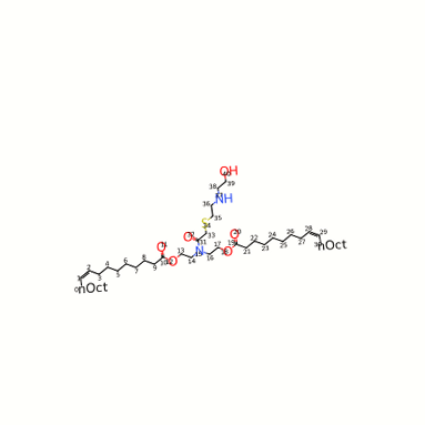 CCCCCCCC/C=C\CCCCCCCC(=O)OCCN(CCOC(=O)CCCCCCC/C=C\CCCCCCCC)C(=O)CSCCNCCO